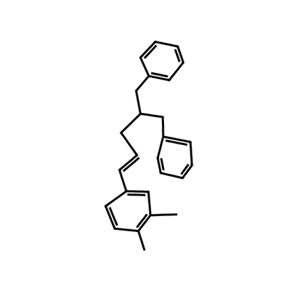 Cc1ccc(C=CCC(Cc2ccccc2)Cc2ccccc2)cc1C